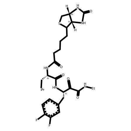 CCNC(=O)C(=O)[C@H](Cc1ccc(F)c(F)c1)NC(=O)[C@H](CC(C)C)NC(=O)CCCCC1SC[C@@H]2NC(=O)N[C@H]12